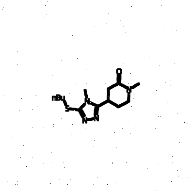 CCCCSc1nnc(C2CCN(C)C(=O)C2)n1C